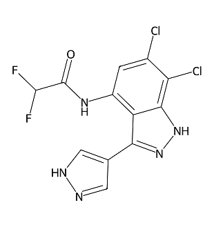 O=C(Nc1cc(Cl)c(Cl)c2[nH]nc(-c3cn[nH]c3)c12)C(F)F